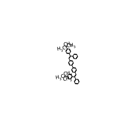 CC(C)(C)c1ccc(C(=Cc2ccc(-c3ccc(C=C(c4ccccc4)c4ccc(C(C)(C)C)cc4)cc3)cc2)c2ccccc2)cc1